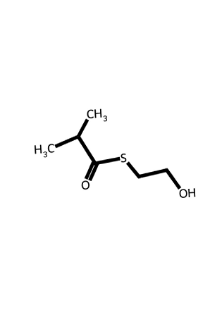 CC(C)C(=O)SCCO